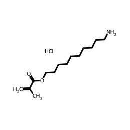 C=C(C)C(=O)OCCCCCCCCCCN.Cl